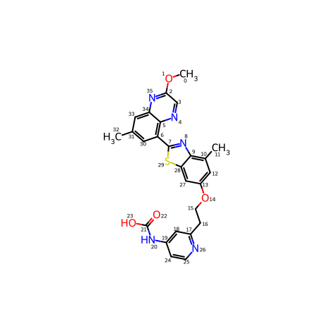 COc1cnc2c(-c3nc4c(C)cc(OCCc5cc(NC(=O)O)ccn5)cc4s3)cc(C)cc2n1